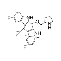 CC12C=C(F)C=C[C@@H]1Nc1c2c(C2CC2)c2c([nH]c3ccc(F)cc32)c1OC[C@H]1CCCN1